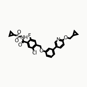 O=C(NS(=O)(=O)C1CC1)c1cc(Cl)c(COc2cccc(-c3ccc(OCC4CC4)nc3)c2)cc1F